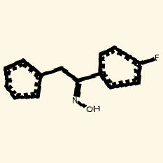 ON=C(Cc1ccccc1)c1ccc(F)cc1